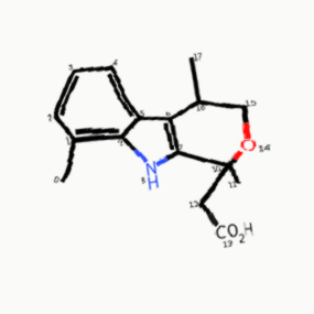 Cc1cccc2c3c([nH]c12)C(C)(CC(=O)O)OCC3C